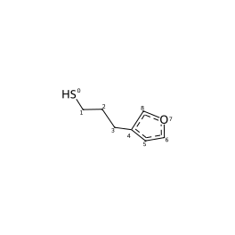 SCCCc1ccoc1